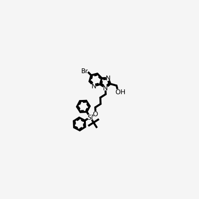 CC(C)(C)[Si](OCCCCn1c(CO)nc2cc(Br)cnc21)(c1ccccc1)c1ccccc1